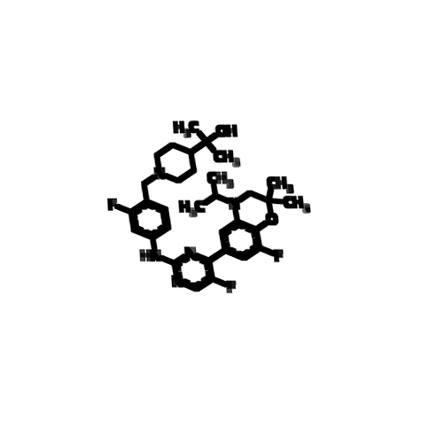 CC(C)N1CC(C)(C)Oc2c(F)cc(-c3nc(Nc4ccc(CN5CCC(C(C)(C)O)CC5)c(F)c4)ncc3F)cc21